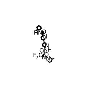 Cc1ccccc1NC(=O)c1ccc(-c2ccc(NC(=O)c3oc(N4CCCC(C)C4)nc3C(F)(F)F)nc2)cn1